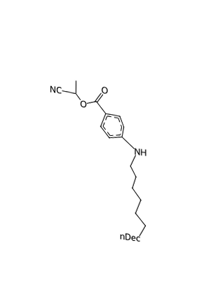 CCCCCCCCCCCCCCCCNc1ccc(C(=O)OC(C)C#N)cc1